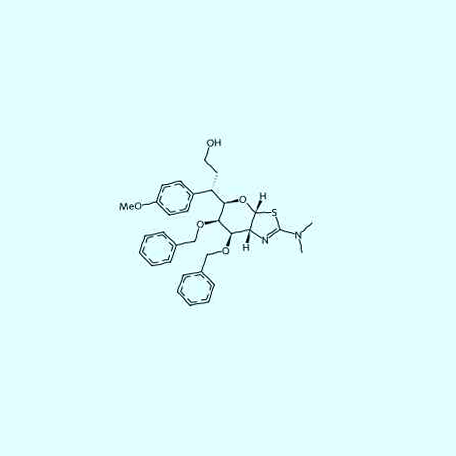 COc1ccc([C@H](CCO)[C@H]2O[C@@H]3SC(N(C)C)=N[C@@H]3[C@@H](OCc3ccccc3)[C@H]2OCc2ccccc2)cc1